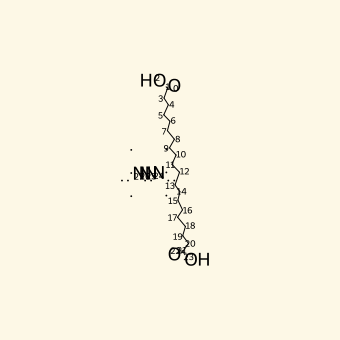 O=C(O)CCCCCCCCCCCCCCCCCCC(=O)O.[N].[N].[N].[N]